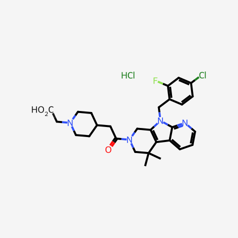 CC1(C)CN(C(=O)CC2CCN(CC(=O)O)CC2)Cc2c1c1cccnc1n2Cc1ccc(Cl)cc1F.Cl